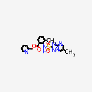 Cc1cnc2nc(S(=O)(=O)Nc3c(C)cccc3C(=O)OCc3ccccn3)nn2c1